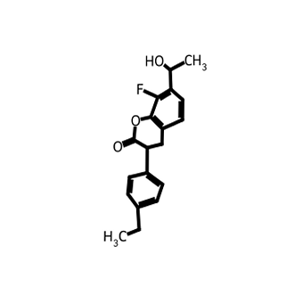 CCc1ccc(C2Cc3ccc(C(C)O)c(F)c3OC2=O)cc1